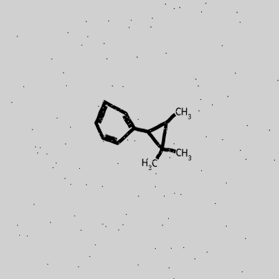 CC1C(c2ccccc2)C1(C)C